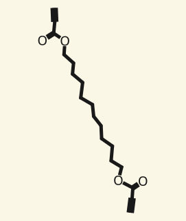 C#CC(=O)OCCCCCCCCCCCCOC(=O)C#C